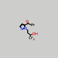 CC(C)C(=O)c1ccnn1CCC(O)C(F)(F)F